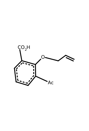 C=CCOc1c(C(C)=O)cccc1C(=O)O